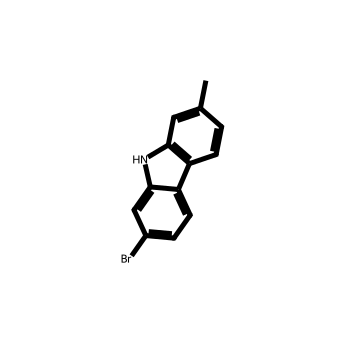 Cc1ccc2c(c1)[nH]c1cc(Br)ccc12